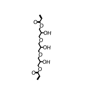 C=CC(=O)OCC(O)COCC(O)COCC(O)COC(=O)C=C